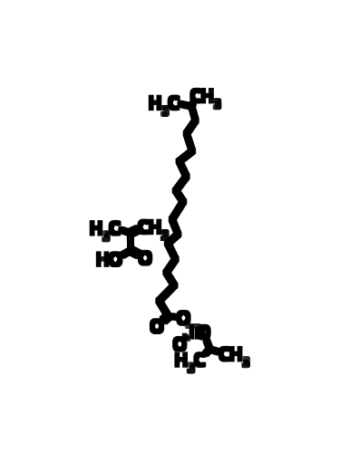 C=C(C)C(=O)O.CC(C)CCCCCCCCCCCCCCC(=O)[O][Ti](=[O])[O]C(C)C